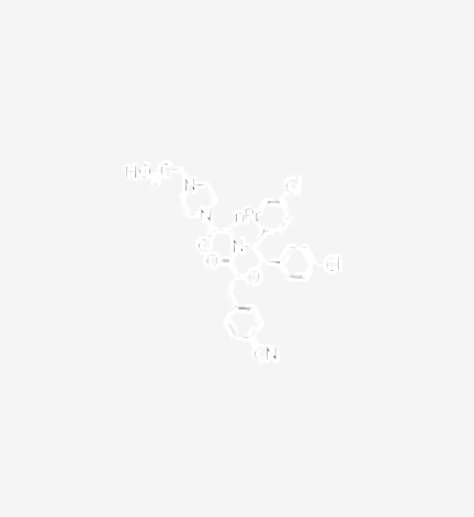 CCC[C@@H](C(=O)N1CCN(CC(=O)O)CC1)N1C(=O)[C@@H](Cc2ccc(C#N)cc2)O[C@H](c2ccc(Cl)cc2)[C@@H]1c1ccc(Cl)cc1